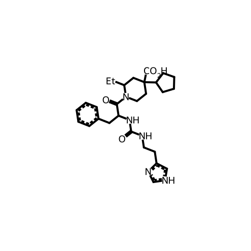 CCC1CC(C(=O)O)(C2CCCC2)CCN1C(=O)C(Cc1ccccc1)NC(=O)NCCc1c[nH]cn1